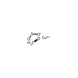 C=O.[Cu+2].[O-]S[O-]